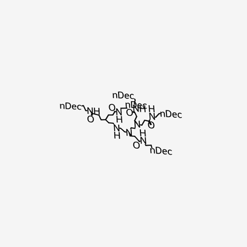 CCCCCCCCCCCCNC(=O)CCC(CCNCCN(CCC(=O)NCCCCCCCCCCCC)CCN(CCC(=O)NCCCCCCCCCCCC)CCC(=O)NCCCCCCCCCCCC)CCC(=O)NCCCCCCCCCCCC